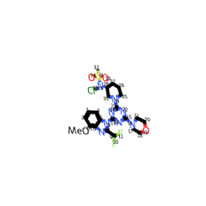 COc1cccc2c1nc(C(F)F)n2-c1nc(N2CCOCC2)nc(N2CCC[C@H](N(Cl)S(C)(=O)=O)C2)n1